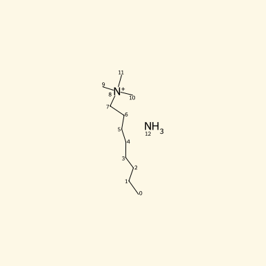 CCCCCCCC[N+](C)(C)C.N